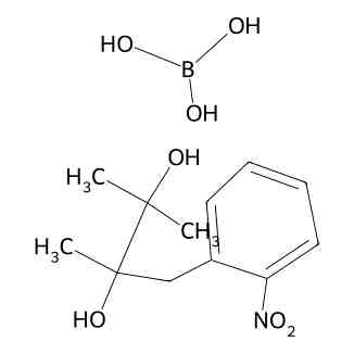 CC(C)(O)C(C)(O)Cc1ccccc1[N+](=O)[O-].OB(O)O